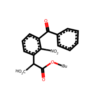 CCC(C)OC(=O)C(C(=O)O)c1cccc(C(=O)c2ccccc2)c1[N+](=O)[O-]